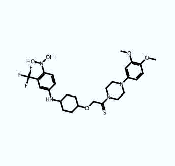 COc1ccc(N2CCN(C(=S)COC3CCC(Nc4ccc(N(O)O)c(C(F)(F)F)c4)CC3)CC2)cc1OC